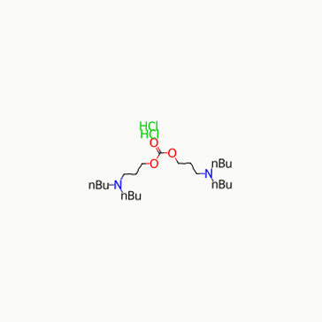 CCCCN(CCCC)CCCOC(=O)OCCCN(CCCC)CCCC.Cl.Cl